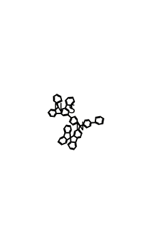 c1ccc(-c2ccc(N(c3ccc(-c4cc5c6ccccc6n(-c6ccccc6)c5c5c4sc4ccccc45)cc3)c3ccc4c(c3)C3(c5ccccc5-c5ccccc53)c3ccccc3-4)cc2)cc1